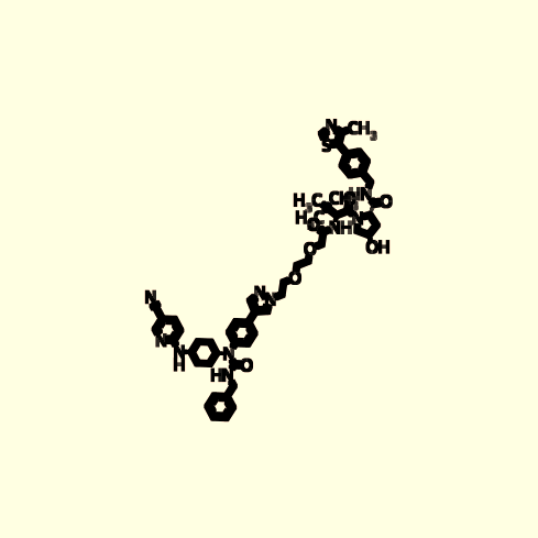 Cc1ncsc1-c1ccc(CNC(=O)[C@@H]2C[C@@H](O)CN2C(=O)[C@@H](NC(=O)COCCOCCn2cc(-c3ccc(N(C(=O)NCc4ccccc4)[C@H]4CC[C@H](Nc5ccc(C#N)cn5)CC4)cc3)cn2)C(C)(C)C)cc1